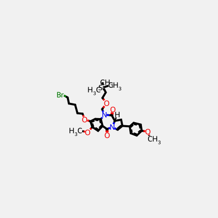 COc1ccc(C2=CN3C(=O)c4cc(OC)c(OCCCCCBr)cc4N(COCC[Si](C)(C)C)C(=O)[C@@H]3C2)cc1